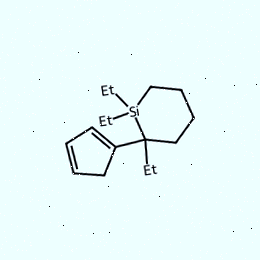 CCC1(C2=CC=CC2)CCCC[Si]1(CC)CC